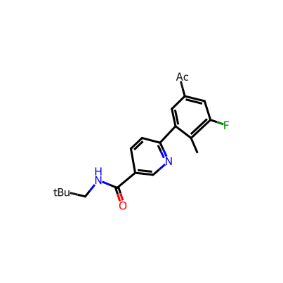 CC(=O)c1cc(F)c(C)c(-c2ccc(C(=O)NCC(C)(C)C)cn2)c1